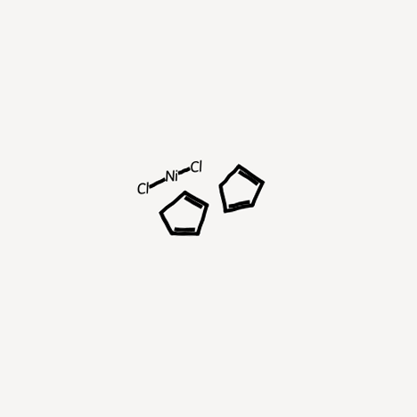 C1=CCC=C1.C1=CCC=C1.[Cl][Ni][Cl]